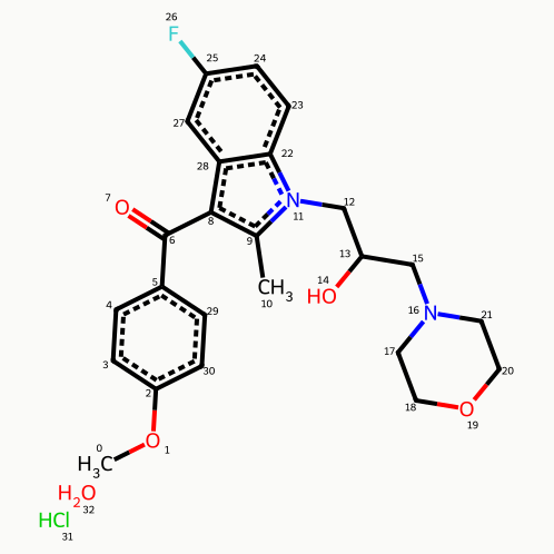 COc1ccc(C(=O)c2c(C)n(CC(O)CN3CCOCC3)c3ccc(F)cc23)cc1.Cl.O